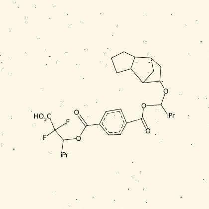 CC(C)C(OC(=O)c1ccc(C(=O)OC(C(C)C)C(F)(F)C(=O)O)cc1)OC1CC2CC1C1CCCC21